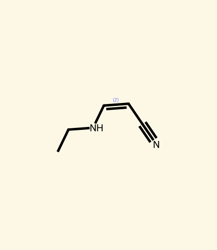 CCN/C=C\C#N